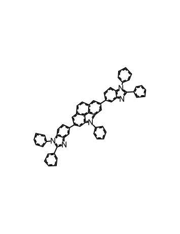 c1ccc(-c2nc3cc(-c4cc5ccc6cc(-c7ccc8c(c7)nc(-c7ccccc7)n8-c7ccccc7)cc7c6c5c(c4)n7-c4ccccc4)ccc3n2-c2ccccc2)cc1